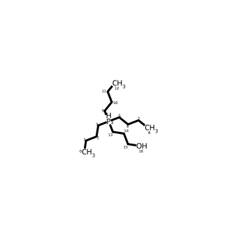 CCCC[PH](CCCC)(CCCC)CCCO